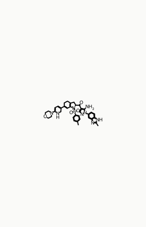 Cc1ccc(S(=O)(=O)N2C3=C(CCC(C4=CC=C(N5CCOCC5)NC4)=C3)CC2C(=O)c2cnn(-c3ccc4[nH]c(C)nc4c3)c2N)cc1